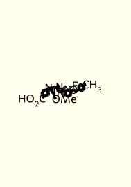 COCCn1c(Cc2cnc(-c3cccc(OCc4ccc(C)cc4F)n3)cn2)nc2ccc(C(=O)O)cc21